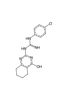 N=C(Nc1ccc(Cl)cc1)Nc1nc(O)c2c(n1)CCCC2